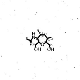 CC(=O)NC1C(CO)OC(CO)C(C)C[C@@H]1C